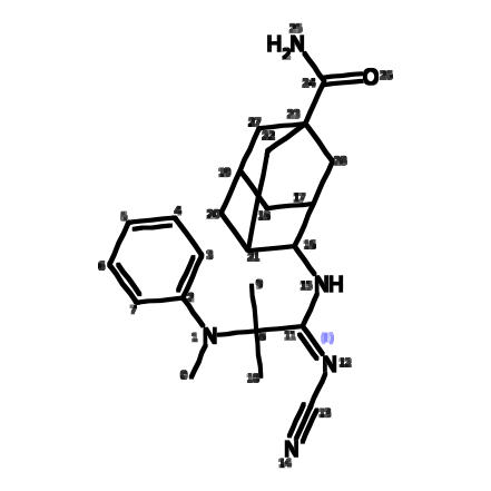 CN(c1ccccc1)C(C)(C)/C(=N\C#N)NC1C2CC3CC1CC(C(N)=O)(C3)C2